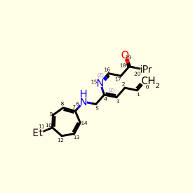 C=CC/C=C(CNC1=CC=C(CC)CC=C1)\N=C/CC(=O)C(C)C